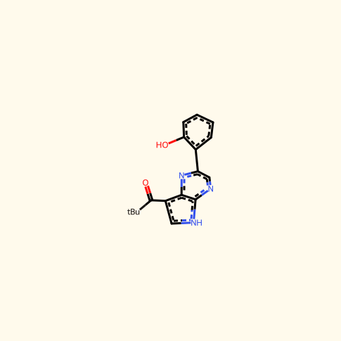 CC(C)(C)C(=O)c1c[nH]c2ncc(-c3ccccc3O)nc12